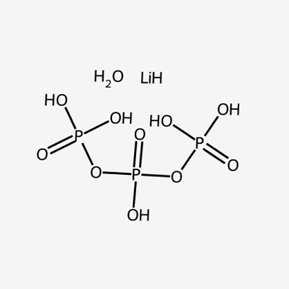 O.O=P(O)(O)OP(=O)(O)OP(=O)(O)O.[LiH]